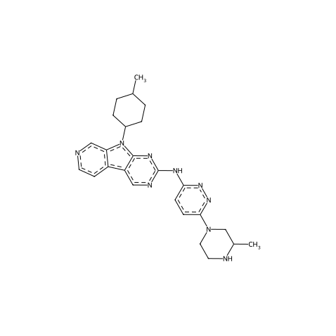 CC1CCC(n2c3cnccc3c3cnc(Nc4ccc(N5CCNC(C)C5)nn4)nc32)CC1